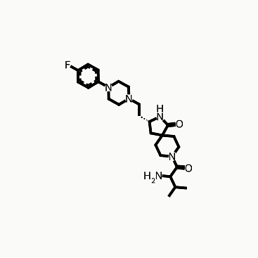 CC(C)C(N)C(=O)N1CCC2(CC1)C[C@H](CCN1CCN(c3ccc(F)cc3)CC1)NC2=O